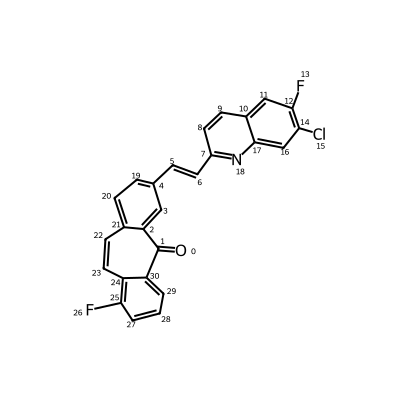 O=c1c2cc(C=Cc3ccc4cc(F)c(Cl)cc4n3)ccc2ccc2c(F)cccc12